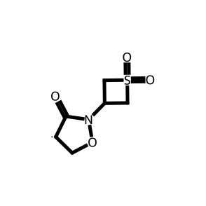 O=C1[CH]CON1C1CS(=O)(=O)C1